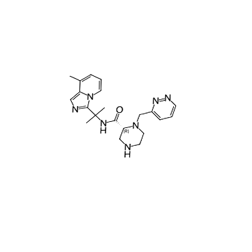 Cc1cccn2c(C(C)(C)NC(=O)[C@H]3CNCCN3Cc3cccnn3)ncc12